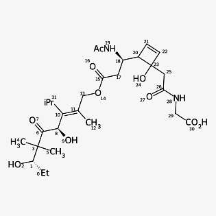 CC[C@H](O)C(C)(C)C(=O)[C@H](O)/C(=C(\C)COC(=O)C[C@@H](NC(C)=O)C1C=CC1(O)CC(=O)NCC(=O)O)C(C)C